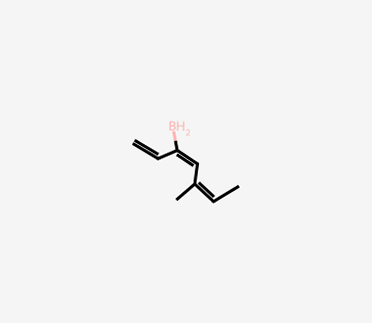 B/C(C=C)=C/C(C)=C\C